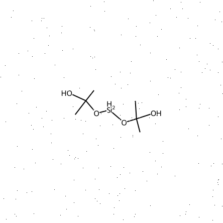 CC(C)(O)O[SiH2]OC(C)(C)O